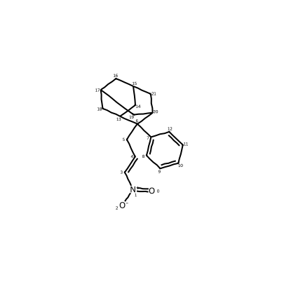 O=[N+]([O-])C=CCC1(c2ccccc2)C2CC3CC(C2)CC1C3